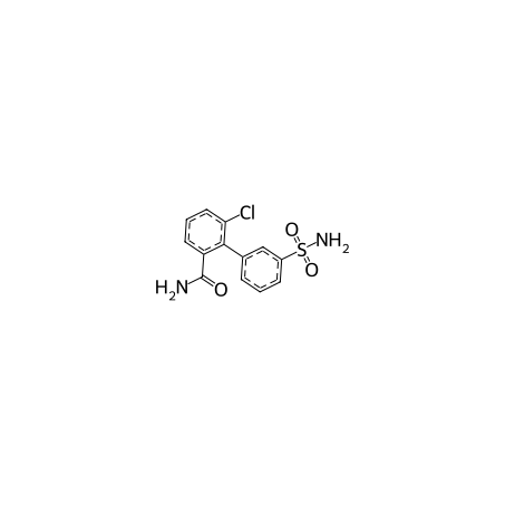 NC(=O)c1cccc(Cl)c1-c1cccc(S(N)(=O)=O)c1